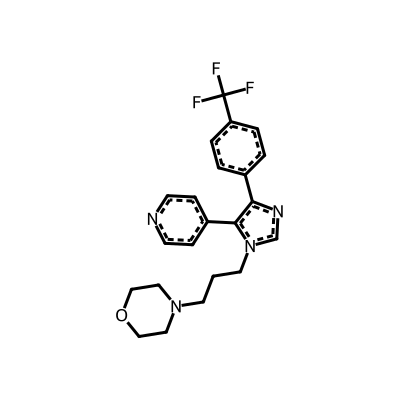 FC(F)(F)c1ccc(-c2ncn(CCCN3CCOCC3)c2-c2ccncc2)cc1